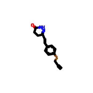 C#CCSc1ccc(C=CC2=NNC(=O)CC2)cc1